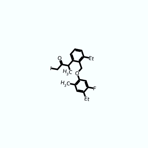 CCc1cc(C)c(OCc2c(CC)cccc2C(C)C(=O)CI)cc1F